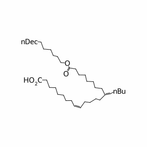 CCCC/C=C(/CCCC/C=C\CCCCCCCC(=O)O)CCCCCCCC(=O)OCCCCCCCCCCCCCCCC